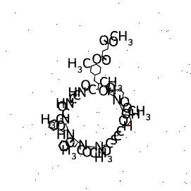 COC(=O)CCC(=O)O[C@@H]1CC[C@@H](C[C@@H](C)[C@@H]2CC(=O)NCCNC(=O)CN(C)C(=O)[C@H](Cc3ccccc3)NC(=O)[C@H](Cc3ccccc3)N(C)C(=O)[C@H](C)NC(=O)CSCC[C@@H]3CC[C@@H](C)[C@@](O)(O3)C(=O)C(=O)N3CCCC[C@H]3C(=O)O2)C[C@H]1C